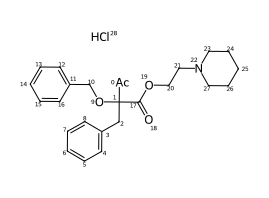 CC(=O)C(Cc1ccccc1)(OCc1ccccc1)C(=O)OCCN1CCCCC1.Cl